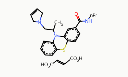 CCCNC(=O)c1ccc2c(c1)N(C(C)CN1CC=CC1)c1ccccc1S2.O=C(O)C=CC(=O)O